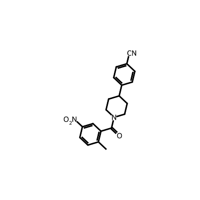 Cc1ccc([N+](=O)[O-])cc1C(=O)N1CCC(c2ccc(C#N)cc2)CC1